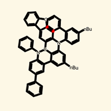 CCCCc1ccc(N2c3cc4oc5ccccc5c4cc3B3c4c(cc(CCCC)cc42)-c2cc(-c4ccccc4)ccc2N3c2ccccc2)c(-c2ccccc2)c1